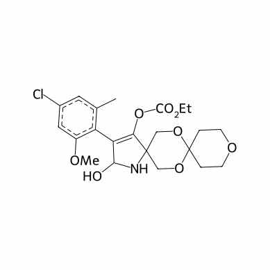 CCOC(=O)OC1=C(c2c(C)cc(Cl)cc2OC)C(O)NC12COC1(CCOCC1)OC2